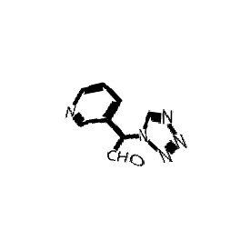 O=CC(c1cccnc1)n1cnnn1